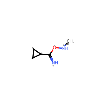 CNOC(=N)C1CC1